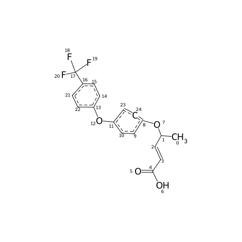 CC(C=CC(=O)O)Oc1ccc(Oc2ccc(C(F)(F)F)cc2)cc1